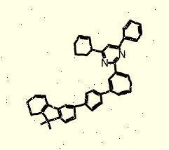 CC1(C)C2=C(C=CCC2)c2cc(-c3ccc(C4=CC(c5nc(-c6ccccc6)cc(C6C=CCCC6)n5)=CCC=C4)cc3)ccc21